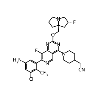 N#CCC1CCN(c2nc(OC[C@@]34CCCN3C[C@H](F)C4)nc3c(F)c(-c4cc(N)cc(Cl)c4C(F)(F)F)ncc23)CC1